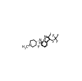 CN1CC[C@H](Nc2cccc3c(SC(F)(F)F)c(I)nn23)[C@H](F)C1